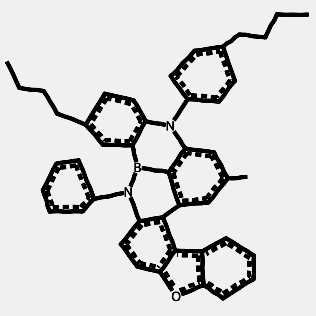 CCCCc1ccc(N2c3ccc(CCCC)cc3B3c4c(cc(C)cc42)-c2c(ccc4oc5ccccc5c24)N3c2ccccc2)cc1